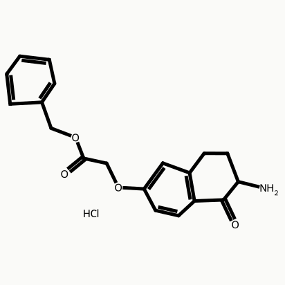 Cl.NC1CCc2cc(OCC(=O)OCc3ccccc3)ccc2C1=O